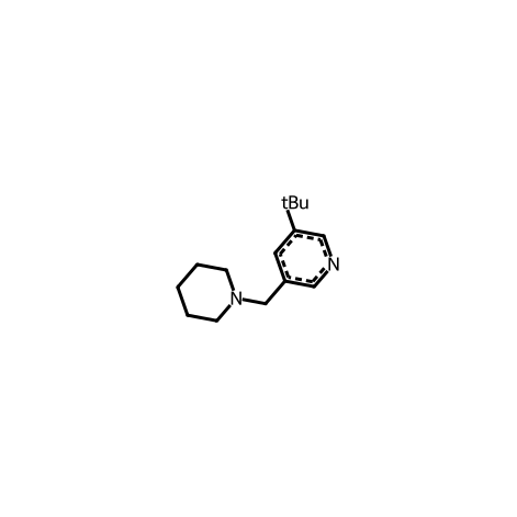 CC(C)(C)c1cncc(CN2CCCCC2)c1